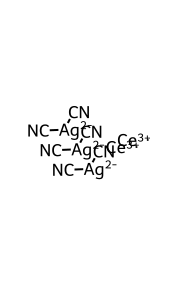 N#[C][Ag-2][C]#N.N#[C][Ag-2][C]#N.N#[C][Ag-2][C]#N.[Ce+3].[Ce+3]